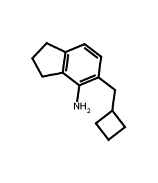 Nc1c(CC2CCC2)ccc2c1CCC2